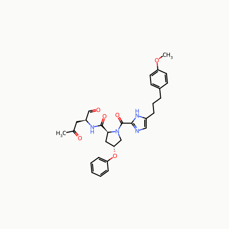 COc1ccc(CCCc2cnc(C(=O)N3C[C@H](Oc4ccccc4)C[C@H]3C(=O)N[C@H](C=O)CC(C)=O)[nH]2)cc1